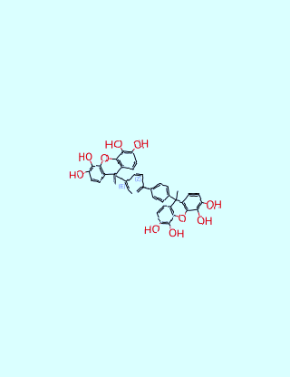 C=C(/C=C\C(=C/C)C1(C)c2ccc(O)c(O)c2Oc2c1ccc(O)c2O)c1ccc(C2(C)c3ccc(O)c(O)c3Oc3c2ccc(O)c3O)cc1